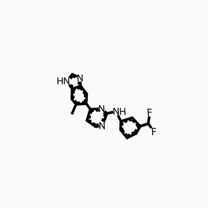 Cc1cc2[nH]cnc2cc1-c1ccnc(Nc2cccc(C(F)F)c2)n1